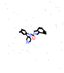 Cc1ccc2c(c1)c1c(n2CC(=O)n2cc3ccccc3c2)CCN(C)C1